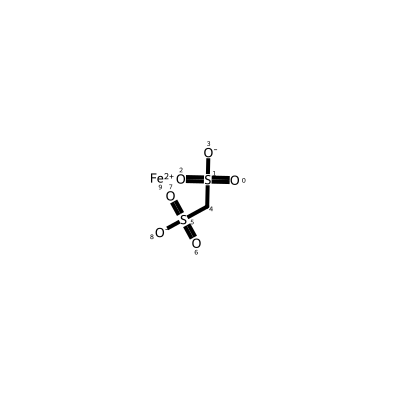 O=S(=O)([O-])CS(=O)(=O)[O-].[Fe+2]